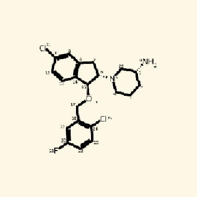 N[C@@H]1CCCN([C@H]2Cc3cc(Cl)ccc3[C@@H]2OCc2cc(F)ccc2Cl)C1